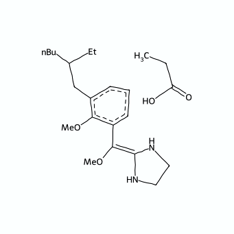 CCC(=O)O.CCCCC(CC)Cc1cccc(C(OC)=C2NCCN2)c1OC